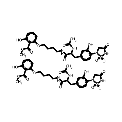 COC(=O)c1c(O)cccc1OCCCCNC(=O)C(Cc1ccc(N2CC(=O)NS2(=O)=O)c(O)c1)NC(C)=O.COC(=O)c1c(O)cccc1OCCCCNC(=O)C(Cc1ccc(N2CC(=O)NS2(=O)=O)c(O)c1)NC(C)=O